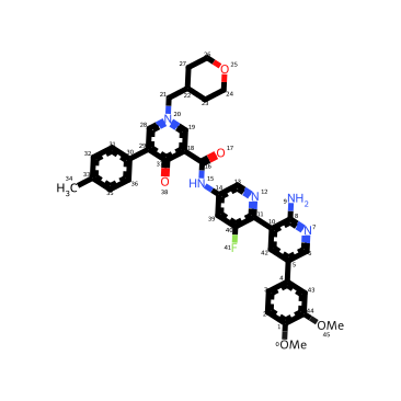 COc1ccc(-c2cnc(N)c(-c3ncc(NC(=O)c4cn(CC5CCOCC5)cc(-c5ccc(C)cc5)c4=O)cc3F)c2)cc1OC